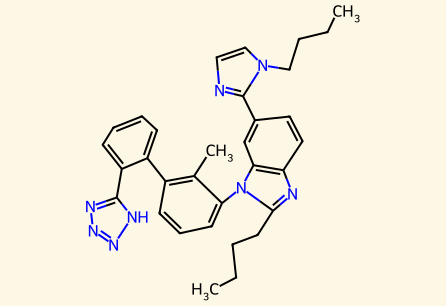 CCCCc1nc2ccc(-c3nccn3CCCC)cc2n1-c1cccc(-c2ccccc2-c2nnn[nH]2)c1C